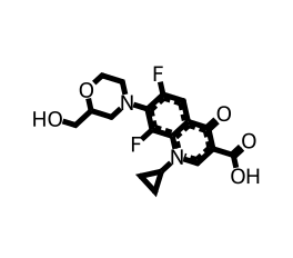 O=C(O)c1cn(C2CC2)c2c(F)c(N3CCOC(CO)C3)c(F)cc2c1=O